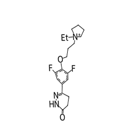 CC[N+]1(CCCOc2c(F)cc(C3=NNC(=O)CC3)cc2F)CCCC1